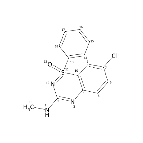 CNC1=Nc2ccc(Cl)cc2S(=O)(c2ccccc2)=N1